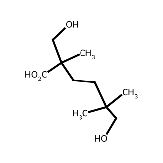 CC(C)(CO)CCC(C)(CO)C(=O)O